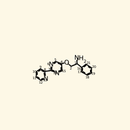 NC(COc1cnc(-c2ccccn2)nc1)c1ccccc1